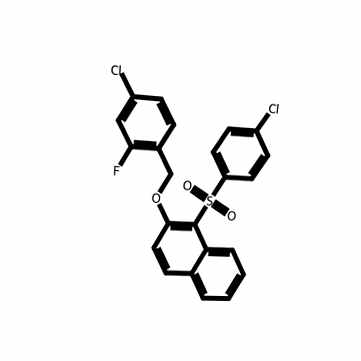 O=S(=O)(c1ccc(Cl)cc1)c1c(OCc2ccc(Cl)cc2F)ccc2ccccc12